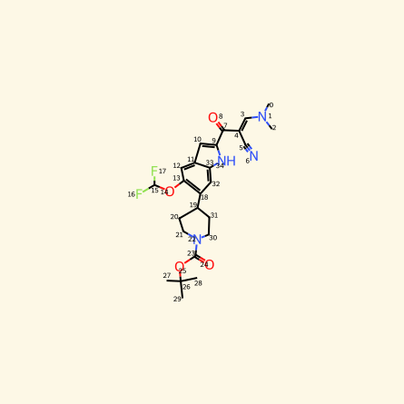 CN(C)/C=C(\C#N)C(=O)c1cc2cc(OC(F)F)c(C3CCN(C(=O)OC(C)(C)C)CC3)cc2[nH]1